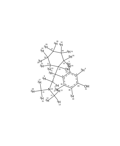 [2H]c1c([2H])c(C([2H])(C([2H])([2H])N(C([2H])([2H])[2H])C([2H])([2H])[2H])C2(O)C([2H])([2H])C([2H])([2H])C([2H])([2H])C([2H])([2H])C2([2H])[2H])c([2H])c([2H])c1O